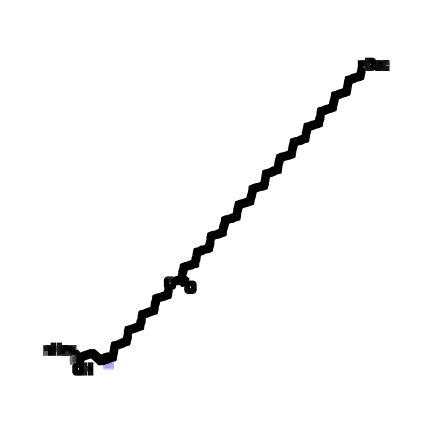 CCCCCCCCCCCCCCCCCCCCCCCCCCCCCCCCCCCCC(=O)OCCCCCCCC/C=C\C[C@H](O)CCCCCC